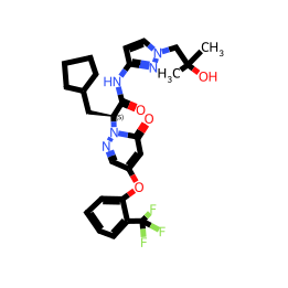 CC(C)(O)Cn1ccc(NC(=O)[C@H](CC2CCCC2)n2ncc(Oc3ccccc3C(F)(F)F)cc2=O)n1